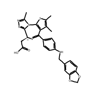 Cc1sc2c(c1C)C(c1ccc(NCc3ccc4c(c3)OCO4)cc1)=N[C@@H](CC(=O)O)c1nnc(C)n1-2